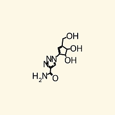 NC(=O)c1cn(C2=C=C(CO)C(O)C2O)nn1